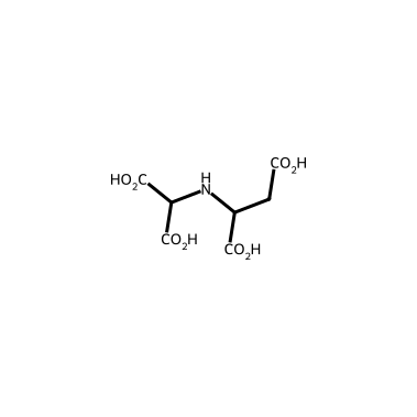 O=C(O)CC(NC(C(=O)O)C(=O)O)C(=O)O